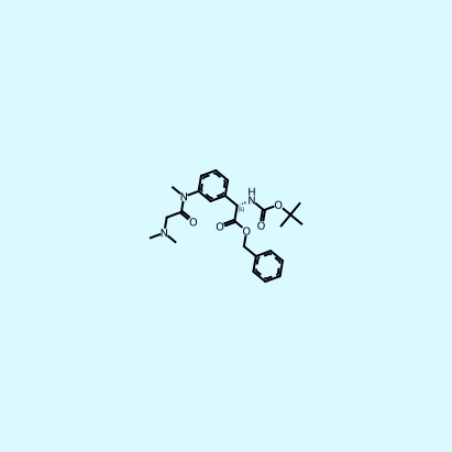 CN(C)CC(=O)N(C)c1cccc([C@H](NC(=O)OC(C)(C)C)C(=O)OCc2ccccc2)c1